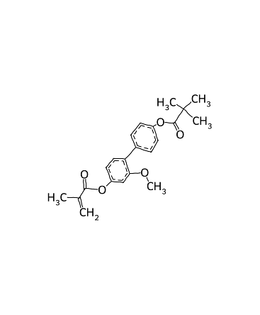 C=C(C)C(=O)Oc1ccc(-c2ccc(OC(=O)C(C)(C)C)cc2)c(OC)c1